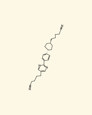 N#CCCCCc1cnc(-c2ccc([C@H]3CC[C@H](CCCCC#N)CC3)cc2)nc1